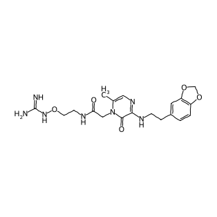 Cc1cnc(NCCc2ccc3c(c2)OCO3)c(=O)n1CC(=O)NCCONC(=N)N